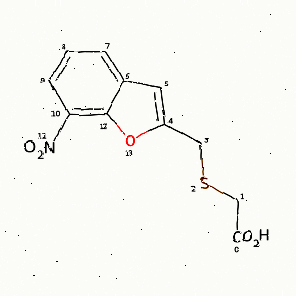 O=C(O)CSCc1cc2cccc([N+](=O)[O-])c2o1